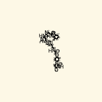 Cc1nc(Nc2ncc(C(=O)Nc3c(C)cccc3Cl)s2)cc(N2CCN(CCCNC(=O)COc3ccc(-n4ccc(=O)[nH]c4=O)cc3)CC2)n1